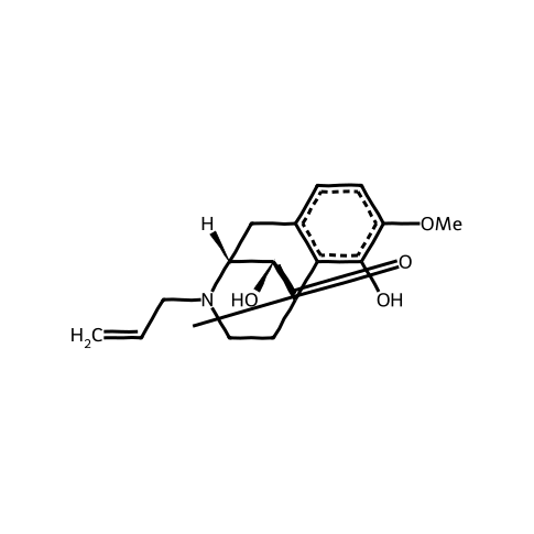 C=CCN1CCC23CC(=O)CC[C@@]2(O)[C@H]1Cc1ccc(OC)c(O)c13